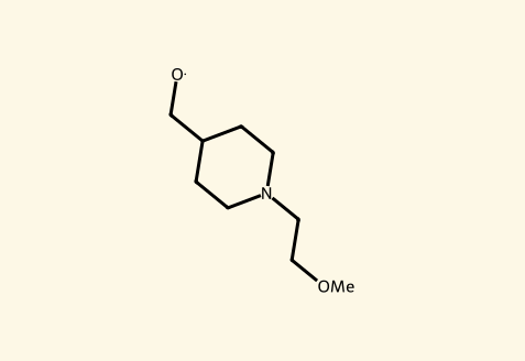 COCCN1CCC(C[O])CC1